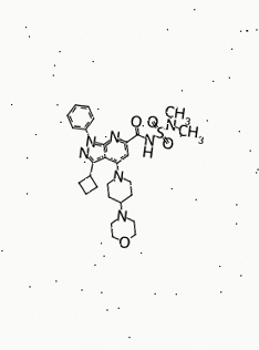 CN(C)S(=O)(=O)NC(=O)c1cc(N2CCC(N3CCOCC3)CC2)c2c(C3CCC3)nn(-c3ccccc3)c2n1